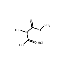 COC(=O)N(C)C(=O)O.Cl